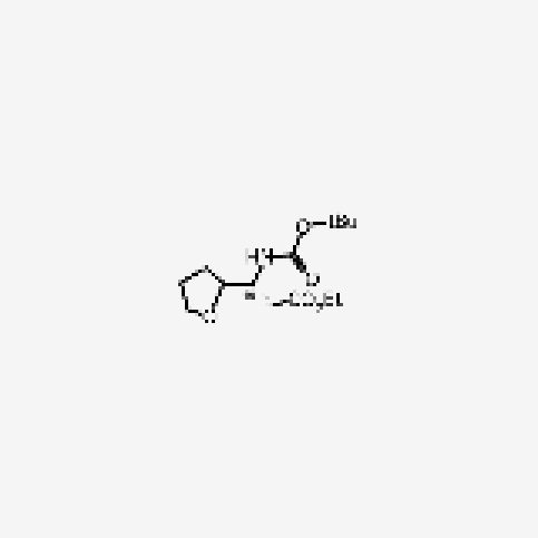 CCOC(=O)C[C@@H](NC(=O)OC(C)(C)C)C1CCCO1